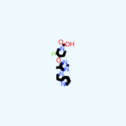 Cc1c(O[C@H]2CCN(C(=O)O)CC2F)ncnc1N1CCc2ncccc21